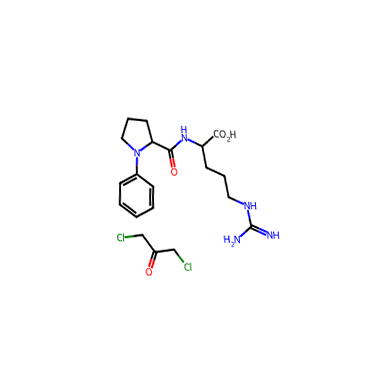 N=C(N)NCCCC(NC(=O)C1CCCN1c1ccccc1)C(=O)O.O=C(CCl)CCl